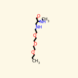 CCCOCCOCCOCCNCC(C=O)NC